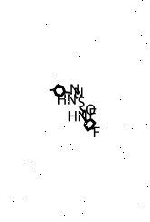 Cc1ccc(-c2nnc(SCC(=O)Nc3ccc(F)cc3F)[nH]2)cc1